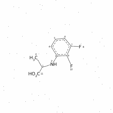 CC(Nc1cccc(F)c1F)C(=O)O